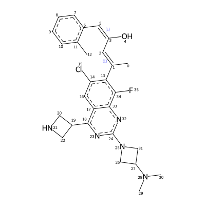 C/C(=C\C(O)=C/c1ccccc1C)c1c(Cl)cc2c(C3CNC3)nc(N3CC(N(C)C)C3)nc2c1F